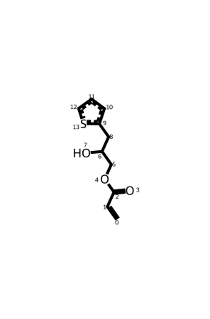 C=CC(=O)OCC(O)Cc1cccs1